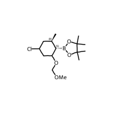 COCOC1CC(Cl)C[C@@H](C)[C@@H]1B1OC(C)(C)C(C)(C)O1